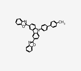 Cc1ccc(-c2ccc(-n3c4ccc(-c5nc6ccccc6o5)cc4c4cc(-c5nc6ccccc6o5)ccc43)cc2)cc1